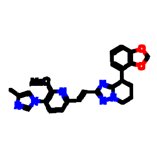 COc1nc(/C=C/c2nc3n(n2)CCCC3c2cccc3c2OCO3)ccc1-n1cnc(C)c1